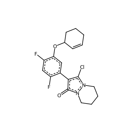 O=c1c(-c2cc(OC3C=CCCC3)c(F)cc2F)c(Cl)n2n1CCCC2